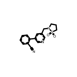 N#Cc1ccccc1-c1cncc(CN2CCCS2(=O)=O)c1